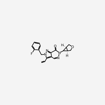 C=Cc1c2cnn(C3[C@H]4COC[C@@H]34)c(=O)c2nn1Cc1ccccc1F